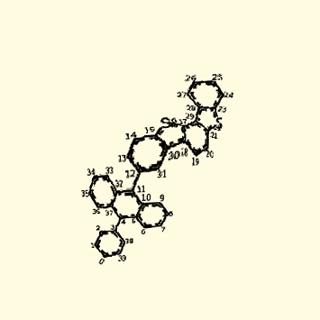 c1ccc(-c2c3ccccc3c(-c3ccc4sc5c(ccc6sc7ccccc7c65)c4c3)c3ccccc23)cc1